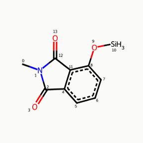 CN1C(=O)c2cccc(O[SiH3])c2C1=O